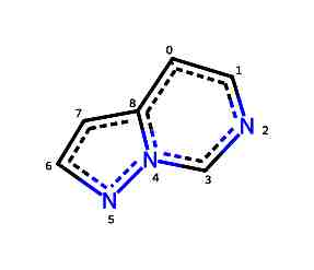 [c]1cncn2nccc12